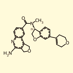 CN(C(=O)c1ccc2nc(N)c3c(c2c1)COC3)[C@@H]1COc2cc(C3=CCOCC3)ccc21